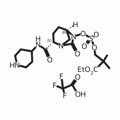 CCOC(=O)C(C)(C)COS(=O)(=O)ON1C(=O)N2C[C@H]1CC[C@H]2C(=O)NC1CCNCC1.O=C(O)C(F)(F)F